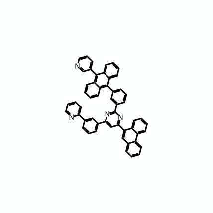 c1ccc(-c2cccc(-c3cc(-c4cc5ccccc5c5ccccc45)nc(-c4cccc(-c5c6ccccc6c(-c6cccnc6)c6ccccc56)c4)n3)c2)nc1